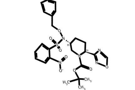 CC(C)(C)OC(=O)N1C[C@H](N(OCc2ccccc2)S(=O)(=O)c2ccccc2[N+](=O)[O-])CC[C@H]1c1ncon1